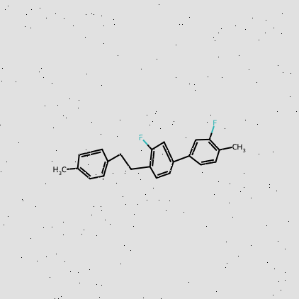 Cc1ccc(CCc2ccc(-c3ccc(C)c(F)c3)cc2F)cc1